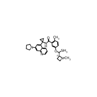 Cc1ccc(OC([SiH3])[C@@H]2CCN2C)cc1C(=O)NC1(c2cc(N3CCCC3)cc3ncccc23)CC1